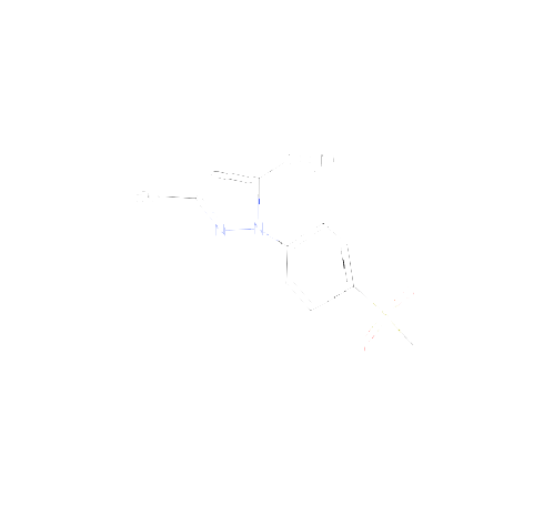 CCOC(=O)c1cc(C(C)(C)C)nn1-c1ccc(S(C)(=O)=O)cc1